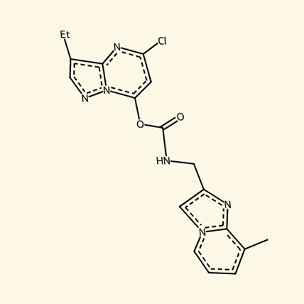 CCc1cnn2c(OC(=O)NCc3cn4cccc(C)c4n3)cc(Cl)nc12